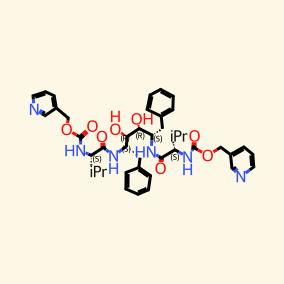 CC(C)[C@H](NC(=O)OCc1cccnc1)C(=O)N[C@@H](Cc1ccccc1)[C@@H](O)[C@H](O)[C@H](Cc1ccccc1)NC(=O)[C@@H](NC(=O)OCc1cccnc1)C(C)C